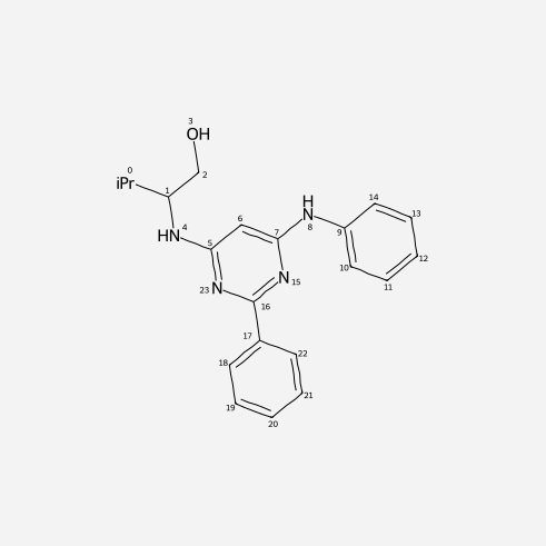 CC(C)C(CO)Nc1cc(Nc2ccccc2)nc(-c2ccccc2)n1